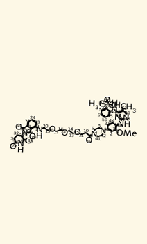 COc1cc(N2CCN(C(=O)CCOCCOCCOCCNc3cccc4c3C(=O)N(C3CCC(=O)NC3=O)C4=O)CC2)ccc1Nc1ncc(C)c(Nc2ccccc2P(C)(C)=O)n1